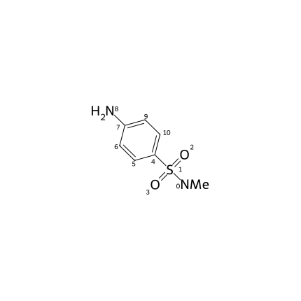 [CH2]NS(=O)(=O)c1ccc(N)cc1